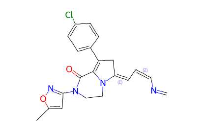 C=N/C=C\C=C1/CC(c2ccc(Cl)cc2)=C2C(=O)N(c3cc(C)on3)CCN21